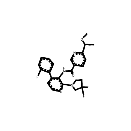 COC(C)c1ccc(C(=O)Nc2c(-c3ccccc3F)ccnc2N2CCC(F)(F)C2)cn1